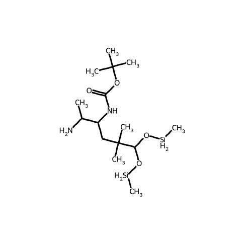 C[SiH2]OC(O[SiH2]C)C(C)(C)CC(NC(=O)OC(C)(C)C)C(C)N